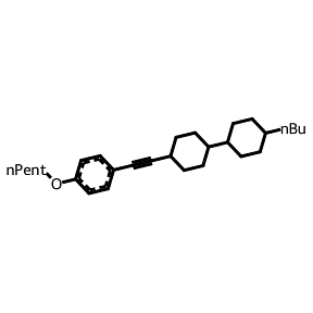 CCCCCOc1ccc(C#CC2CCC(C3CCC(CCCC)CC3)CC2)cc1